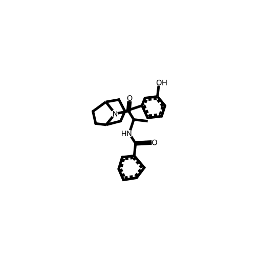 CC(NC(=O)c1ccccc1)C(=O)N1C2CCC1CC(c1cccc(O)c1)C2